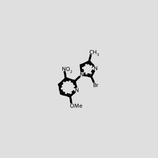 COc1ccc([N+](=O)[O-])c(-n2cc(C)nc2Br)n1